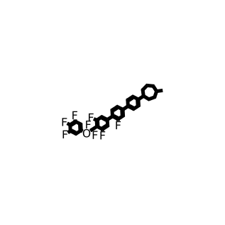 CC1CCCC(c2ccc(-c3ccc(-c4cc(F)c(C(F)(F)Oc5cc(F)c(F)c(F)c5)c(F)c4)c(F)c3)cc2)CC1